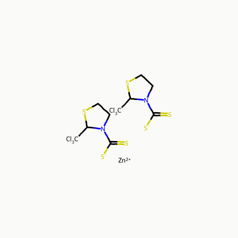 S=C([S-])N1CCSC1C(Cl)(Cl)Cl.S=C([S-])N1CCSC1C(Cl)(Cl)Cl.[Zn+2]